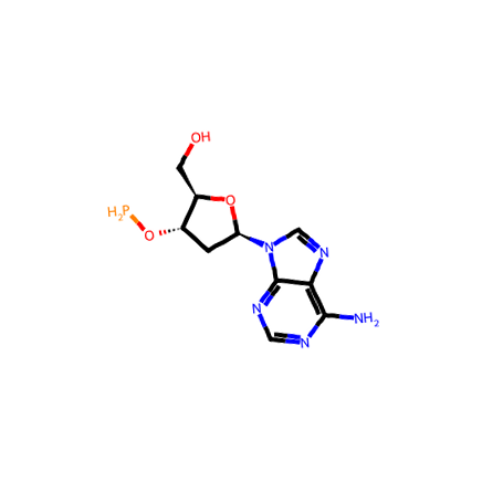 Nc1ncnc2c1ncn2[C@H]1C[C@H](OP)[C@@H](CO)O1